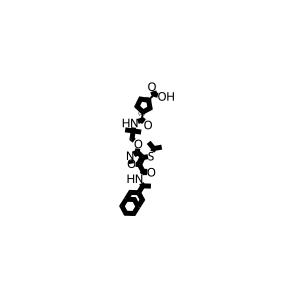 CC(C)Sc1c(OCC(C)(C)NC(=O)[C@H]2CC[C@@H](C(=O)O)C2)noc1C(=O)NC(C)C1CC2CCCC(C2)C1